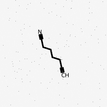 C#C[CH]CCCC#N